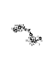 CC(C)[C@H](NC(=O)CCN1C(=O)C=CC1=O)C(=O)N[C@@H](C)C(=O)Nc1ccc(COC(=O)N2CC[C@H](CC(=O)N[C@@H]3[C@@H](O)[C@H](O)[C@@H](Nc4ncnc5nc[nH]c45)O[C@H]3CO)C2)cc1